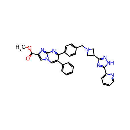 COC(=O)c1cn2cc(-c3ccccc3)c(-c3ccc(CN4CC(c5n[nH]c(-c6ccccn6)n5)C4)cc3)nc2n1